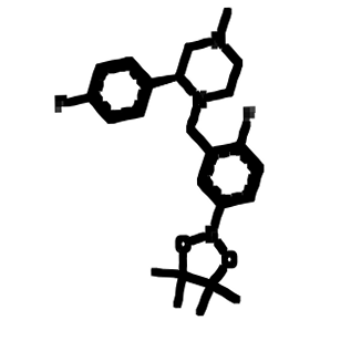 CN1CCN(Cc2cc(B3OC(C)(C)C(C)(C)O3)ccc2F)[C@@H](c2ccc(F)cc2)C1